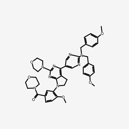 COc1ccc(CN(Cc2ccc(OC)cc2)c2ncc(-c3nc(N4CCOCC4)nc4c3CCN4c3cc(C(=O)N4CCOCC4)ccc3OC)cn2)cc1